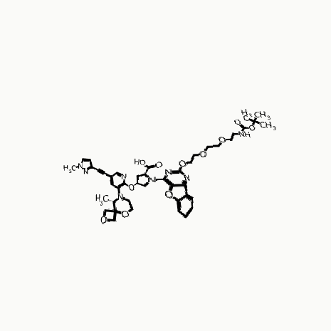 C[C@@H]1N(c2cc(C#Cc3ccn(C)n3)cnc2O[C@H]2C[C@@H](C(=O)O)N(c3nc(OCCOCCOCCNC(=O)OC(C)(C)C)nc4c3oc3ccccc34)C2)CCOC12COC2